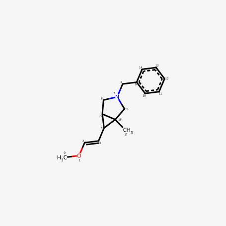 COC=CC1C2CN(Cc3ccccc3)CC12C